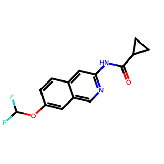 O=C(Nc1cc2ccc(OC(F)F)cc2cn1)C1CC1